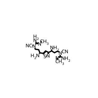 CN=C(N)N(C#N)CCC(N)c1cc(C(N)CCN(C#N)C(N)=NC)sn1